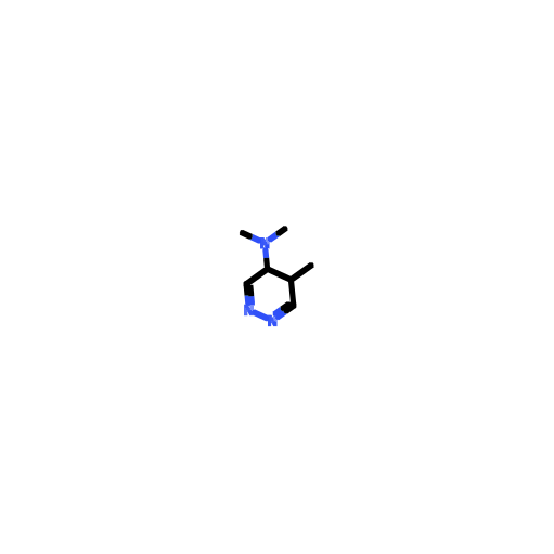 CC1C=NN=CC1N(C)C